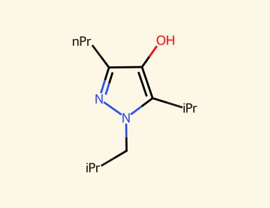 CCCc1nn(CC(C)C)c(C(C)C)c1O